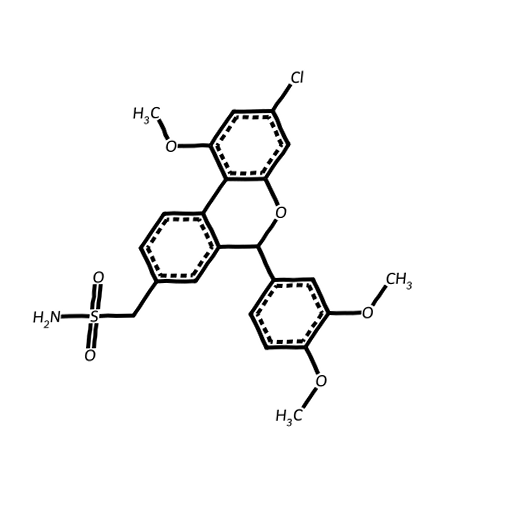 COc1ccc(C2Oc3cc(Cl)cc(OC)c3-c3ccc(CS(N)(=O)=O)cc32)cc1OC